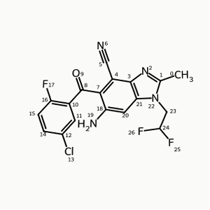 Cc1nc2c(C#N)c(C(=O)c3cc(Cl)ccc3F)c(N)cc2n1CC(F)F